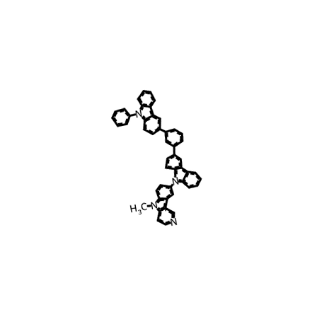 Cn1c2ccncc2c2cc(-n3c4ccccc4c4cc(-c5cccc(-c6ccc7c(c6)c6ccccc6n7-c6ccccc6)c5)ccc43)ccc21